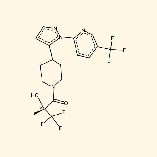 C[C@@](O)(C(=O)N1CCC(c2ccnn2-c2ccc(C(F)(F)F)cn2)CC1)C(F)(F)F